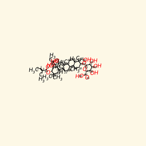 C/C=C(\C)C(=O)O[C@@H]1[C@@H](OC(C)=O)[C@]2(CO)[C@H](O)C[C@]3(C)C(=CCC4[C@@]5(C)CCC(O[C@@H]6O[C@H](C(=O)O)[C@@H](O)[C@H](O)[C@H]6O)C(C)(CO)C5CC[C@]43C)[C@H]2CC1(C)C